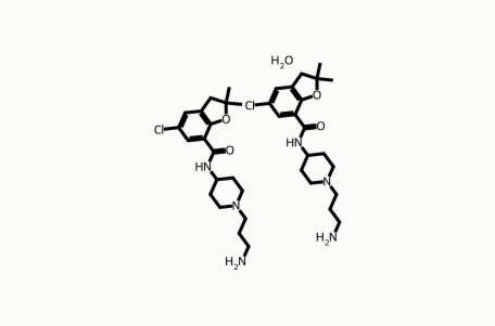 CC1(C)Cc2cc(Cl)cc(C(=O)NC3CCN(CCCN)CC3)c2O1.CC1(C)Cc2cc(Cl)cc(C(=O)NC3CCN(CCCN)CC3)c2O1.O